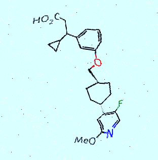 COc1cc([C@H]2CC[C@H](COc3cccc(C(CC(=O)O)C4CC4)c3)CC2)c(F)cn1